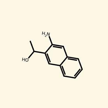 CC(O)c1cc2ccccc2cc1N